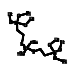 CCC[CH2][Sn]([CH2]CCC)([S]CC[Si](OCC)(OCC)OCC)[S]CC[Si](OCC)(OCC)OCC